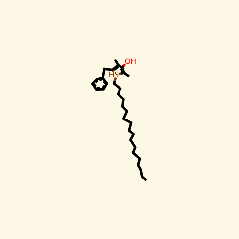 CCCCCCCCCCCCCCCCCC[SH]1C(C)=C(O)C(C)=C1Cc1ccccc1